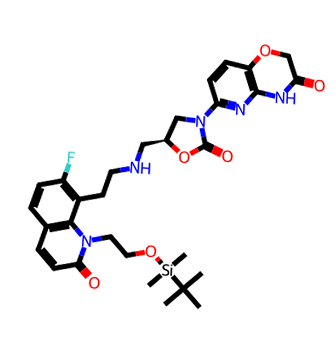 CC(C)(C)[Si](C)(C)OCCn1c(=O)ccc2ccc(F)c(CCNC[C@H]3CN(c4ccc5c(n4)NC(=O)CO5)C(=O)O3)c21